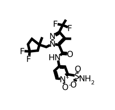 Cc1c(C(C)(F)F)nn(CC2(C)CCC(F)(F)C2)c1C(=O)Nc1cc[n+]([O-])c(S(N)(=O)=O)c1